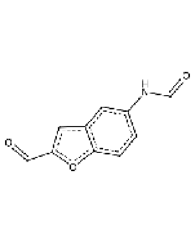 O=CNc1ccc2oc(C=O)cc2c1